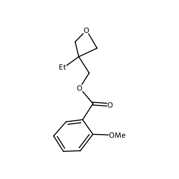 CCC1(COC(=O)c2ccccc2OC)COC1